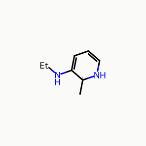 CCNC1=CC=CN[C]1C